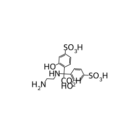 NCCNC(C(=O)O)(c1ccc(S(=O)(=O)O)cc1O)c1ccc(S(=O)(=O)O)cc1O